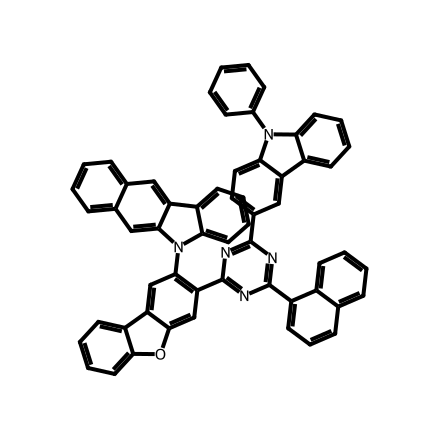 c1ccc(-n2c3ccccc3c3cc(-c4nc(-c5cc6oc7ccccc7c6cc5-n5c6ccccc6c6cc7ccccc7cc65)nc(-c5cccc6ccccc56)n4)ccc32)cc1